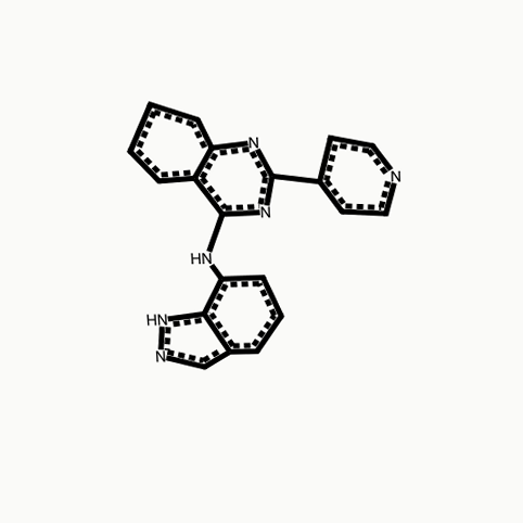 c1cc(Nc2nc(-c3ccncc3)nc3ccccc23)c2[nH]ncc2c1